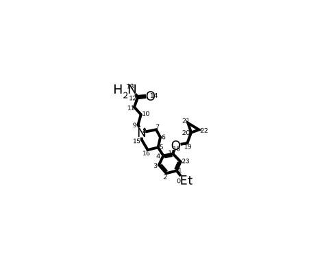 CCc1ccc(C2CCN(CCCC(N)=O)CC2)c(OCC2CC2)c1